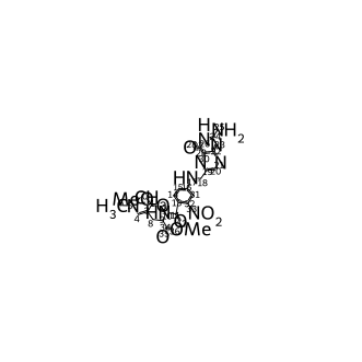 COC(=O)C(=CN(C)C)CC(NC(=O)c1ccc(NCc2cnc3nc(N)[nH]c(=O)c3n2)cc1[N+](=O)[O-])C(=O)OC